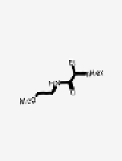 CCCCCCC(CC)C(=O)NCCOC